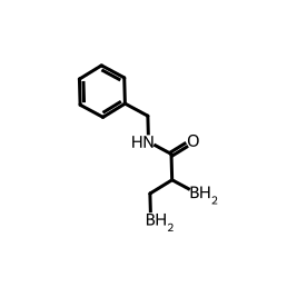 BCC(B)C(=O)NCc1ccccc1